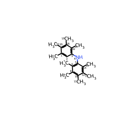 Cc1cc(Nc2c(C)c(C)c(C)c(C)c2C)c(C)c(C)c1C